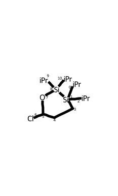 CC(C)[Si]1(C(C)C)CCC(Cl)O[Si]1(C(C)C)C(C)C